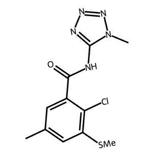 CSc1cc(C)cc(C(=O)Nc2nnnn2C)c1Cl